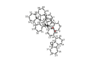 c1ccc(-c2ccccc2N(c2ccc(-c3cccc4c3oc3ccccc34)cc2)c2cccc3c2C2(c4ccccc4-c4ccccc42)c2ccccc2-3)cc1